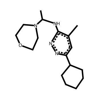 Cc1cc(C2CCCCC2)nnc1NC(C)N1CCOCC1